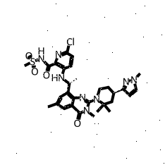 Cc1cc([C@@H](C)Nc2ccc(Cl)nc2C(=O)NS(C)(=O)=O)c2nc(N3CC[C@@H](c4ccn(C)n4)CC3(C)C)n(C)c(=O)c2c1